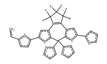 C=Cc1ccc(-c2cc3c(s2)C(c2cccs2)(c2cccs2)c2sc(-c4cccs4)cc2C2=C3C(F)(F)C(F)(F)C2(F)F)s1